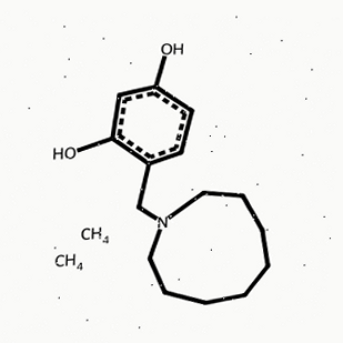 C.C.Oc1ccc(CN2CC[CH]CCCCC2)c(O)c1